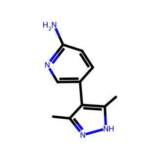 Cc1n[nH]c(C)c1-c1ccc(N)nc1